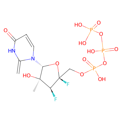 C=C1NC(=O)C=CN1[C@@H]1O[C@](F)(COP(=O)(O)OP(=O)(O)OP(=O)(O)O)[C@@H](F)[C@@]1(C)O